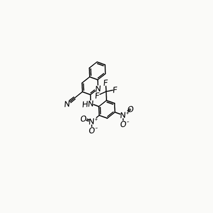 N#Cc1cc2ccccc2nc1Nc1c([N+](=O)[O-])cc([N+](=O)[O-])cc1C(F)(F)F